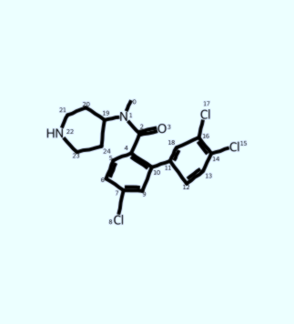 CN(C(=O)c1ccc(Cl)cc1-c1ccc(Cl)c(Cl)c1)C1CCNCC1